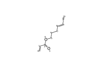 C=CC(=O)OCCCC=CF